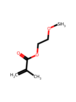 C=C(C)C(=O)OCCO[SiH3]